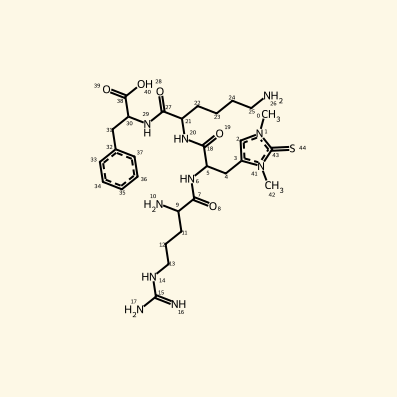 Cn1cc(CC(NC(=O)C(N)CCCNC(=N)N)C(=O)NC(CCCCN)C(=O)NC(Cc2ccccc2)C(=O)O)n(C)c1=S